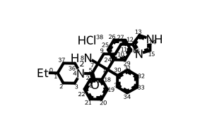 CCC1CCN(C(=O)C(N)(CCCc2c[nH]cn2)C(c2ccccc2)(c2ccccc2)c2ccccc2)CC1.Cl